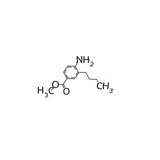 CCCCc1cc(C(=O)OC)ccc1N